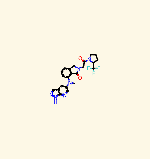 CN(c1cnc2[nH]ncc2c1)c1cccc2c1C(=O)N(CC(=O)N1CCCC1C(F)(F)F)C2